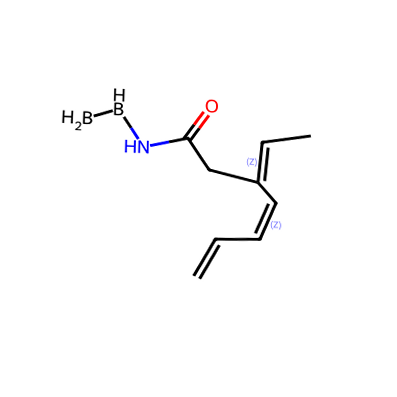 BBNC(=O)CC(/C=C\C=C)=C/C